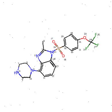 Cc1nc2c(N3CCNCC3)cccc2n1S(=O)(=O)c1ccc(OC(F)(F)F)cc1